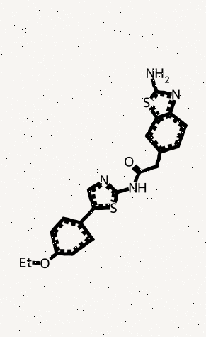 CCOc1ccc(-c2cnc(NC(=O)Cc3ccc4nc(N)sc4c3)s2)cc1